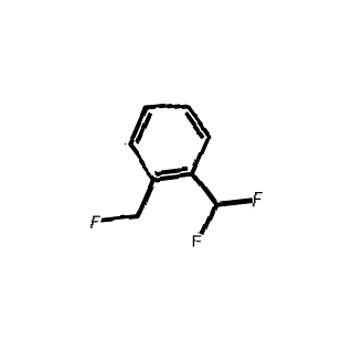 FCc1[c]cccc1C(F)F